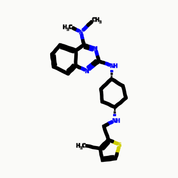 Cc1ccsc1CN[C@H]1CC[C@@H](Nc2nc(N(C)C)c3ccccc3n2)CC1